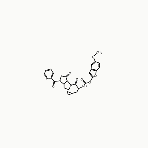 COc1ccc2oc(OC(=O)NC(CC3CC3)C(=O)N3CCC4C3C(=O)CN4C(=O)c3ccccn3)cc2c1